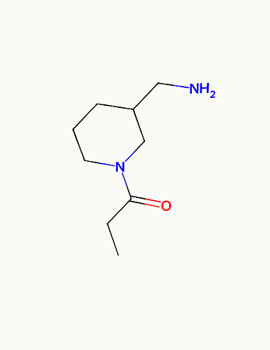 CCC(=O)N1CCCC(CN)C1